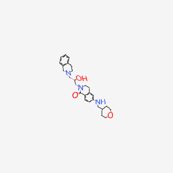 O=C1c2ccc(NCC3CCOCC3)cc2CCN1CC(O)CN1CCc2ccccc2C1